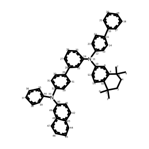 CC1(C)CCC(C)(C)c2cc(N(c3ccc(-c4ccccc4)cc3)c3cccc(-c4ccc(N(c5ccccc5)c5ccc6ccccc6c5)cc4)c3)ccc21